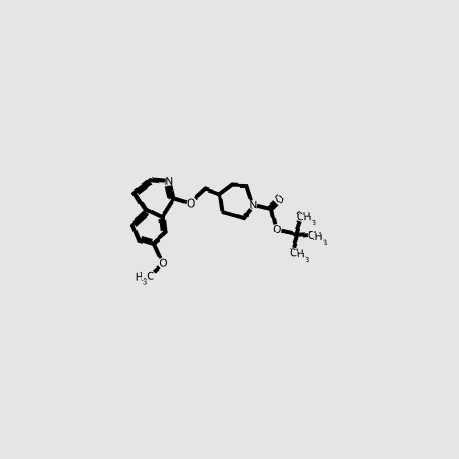 COc1ccc2ccnc(OCC3CCN(C(=O)OC(C)(C)C)CC3)c2c1